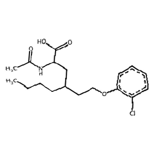 CCCCC(CCOc1ccccc1Cl)CC(NC(C)=O)C(=O)O